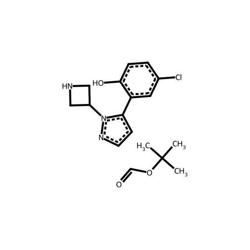 CC(C)(C)OC=O.Oc1ccc(Cl)cc1-c1ccnn1C1CNC1